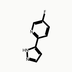 Fc1ccc(-c2ccn[nH]2)nc1